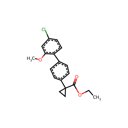 CCOC(=O)C1(c2ccc(-c3ccc(Cl)cc3OC)cc2)CC1